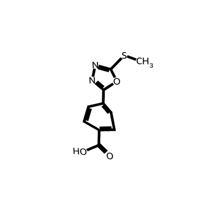 CSc1nnc(-c2ccc(C(=O)O)cc2)o1